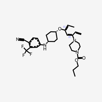 C=C/C(=C\C(=C/C)O[C@H]1CC[C@H](Nc2ccc(C#N)c(C(F)(F)F)c2)CC1)N1CCN(C(=O)OCCC)CC1